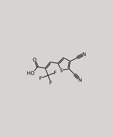 N#Cc1cc(/C=C(/C(=O)O)C(F)(F)F)sc1C#N